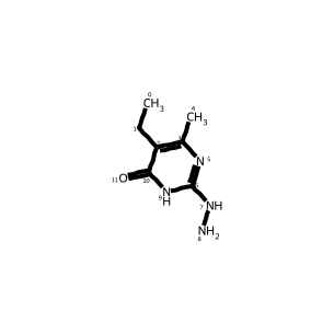 CCc1c(C)nc(NN)[nH]c1=O